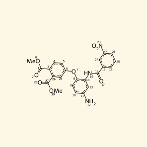 COC(=O)c1ccc(Oc2ccc(N)cc2NC(=O)c2cccc([N+](=O)[O-])c2)cc1C(=O)OC